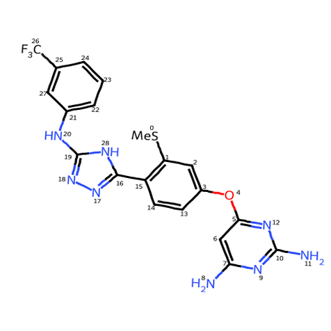 CSc1cc(Oc2cc(N)nc(N)n2)ccc1-c1nnc(Nc2cccc(C(F)(F)F)c2)[nH]1